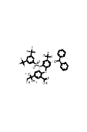 CCC(C)(C)c1ccc(Oc2ccc(C(F)(F)F)cc2NS(=O)(=O)c2cc(C(F)(F)F)cc(C(F)(F)F)c2)c(C(=O)O)c1.OC(c1ccccc1)c1ccccc1